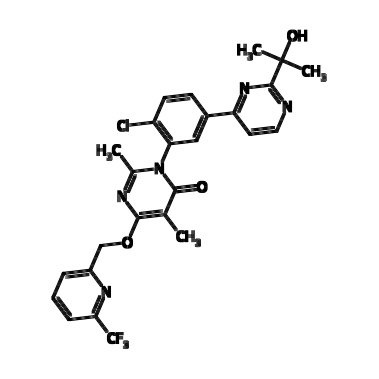 Cc1c(OCc2cccc(C(F)(F)F)n2)nc(C)n(-c2cc(-c3ccnc(C(C)(C)O)n3)ccc2Cl)c1=O